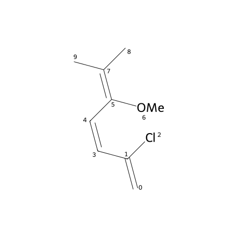 C=C(Cl)/C=C\C(OC)=C(C)C